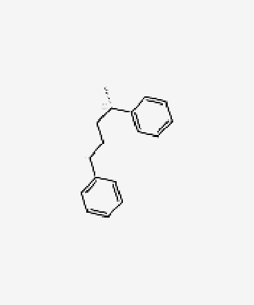 C[C@@H](CC[CH]c1ccccc1)c1ccccc1